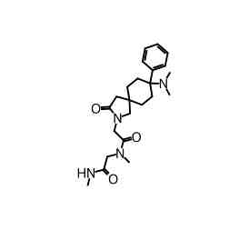 CNC(=O)CN(C)C(=O)CN1CC2(CCC(c3ccccc3)(N(C)C)CC2)CC1=O